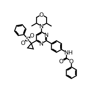 CC1COCC(C)N1c1cc(C2(S(=O)(=O)c3ccccc3)CC2)nc(-c2ccc(NC(=O)Oc3ccccc3)cc2)n1